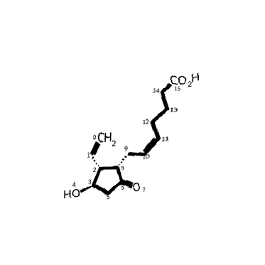 C=C[C@H]1[C@H](O)CC(=O)[C@H]1C/C=C\CCCC(=O)O